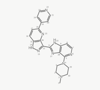 CN1CCN(c2nccc3[nH]c(-c4n[nH]c5ccc(-c6ccncc6)nc45)nc23)CC1